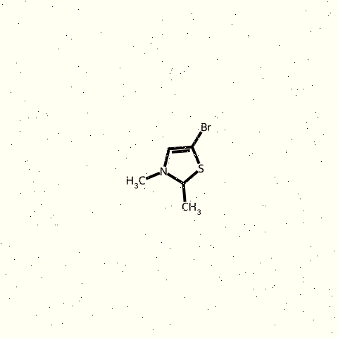 CC1SC(Br)=CN1C